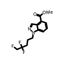 COC(=O)c1cccc2c1cnn2CCCC(F)(F)CF